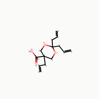 C=CCC1(CC=C)OCC(CC=C)(C(=O)O)CO1